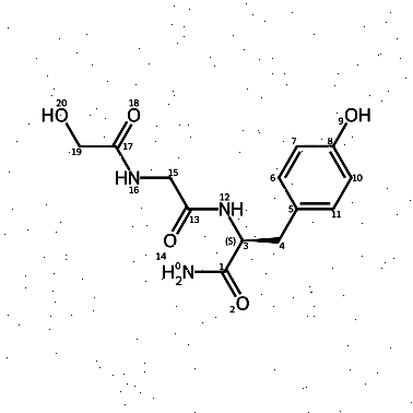 NC(=O)[C@H](Cc1ccc(O)cc1)NC(=O)CNC(=O)CO